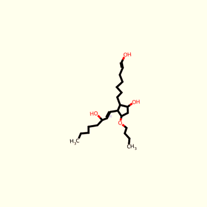 CCCCCC(O)/C=C/C1C(OCCCC)CC(O)C1CCCCCC=CO